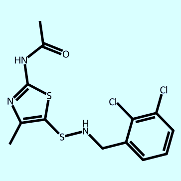 CC(=O)Nc1nc(C)c(SNCc2cccc(Cl)c2Cl)s1